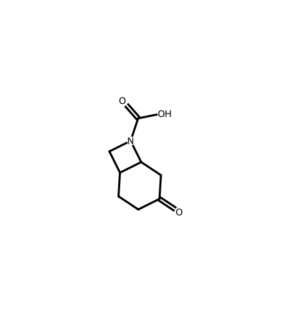 O=C1CCC2CN(C(=O)O)C2C1